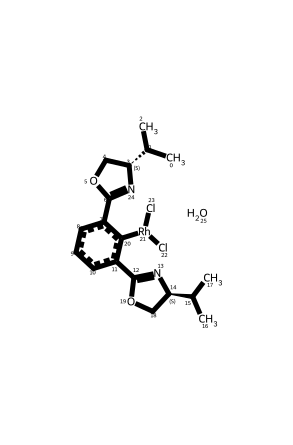 CC(C)[C@H]1COC(c2cccc(C3=N[C@@H](C(C)C)CO3)[c]2[Rh]([Cl])[Cl])=N1.O